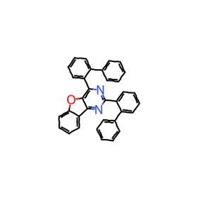 c1ccc(-c2ccccc2-c2nc(-c3ccccc3-c3ccccc3)c3oc4ccccc4c3n2)cc1